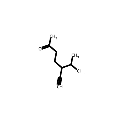 C#CC(CCC(C)=O)C(C)C